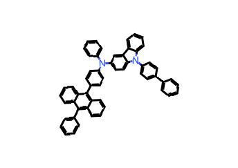 c1ccc(-c2ccc(-n3c4ccccc4c4cc(N(c5ccccc5)c5ccc(-c6c7ccccc7c(-c7ccccc7)c7ccccc67)cc5)ccc43)cc2)cc1